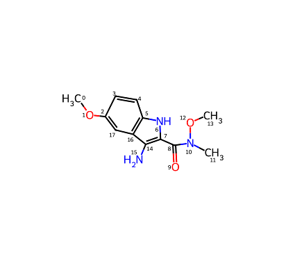 COc1ccc2[nH]c(C(=O)N(C)OC)c(N)c2c1